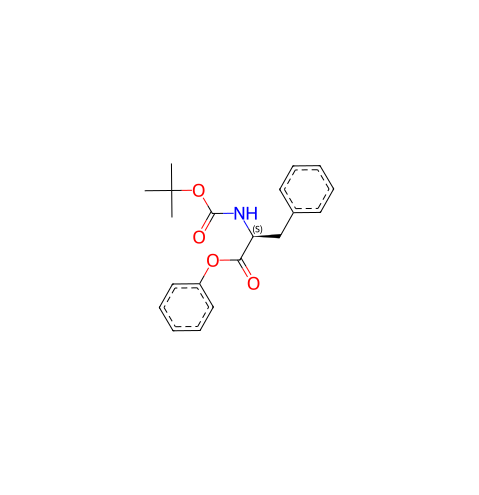 CC(C)(C)OC(=O)N[C@@H](Cc1ccccc1)C(=O)Oc1ccccc1